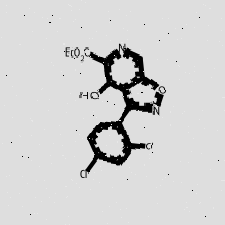 CCOC(=O)c1ncc2onc(-c3ccc(Cl)cc3Cl)c2c1O